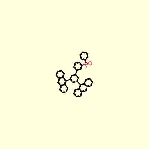 CP(=O)(c1ccccc1)c1cccc(-c2cc(-c3c4ccccc4cc4ccccc34)cc(-c3c4ccccc4cc4ccccc34)c2)c1